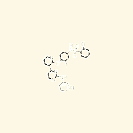 O=S(=O)(Nc1ccc(Oc2ncccc2-c2ccnc(N[C@H]3CCCNC3)n2)c(F)c1)c1ccccc1Cl